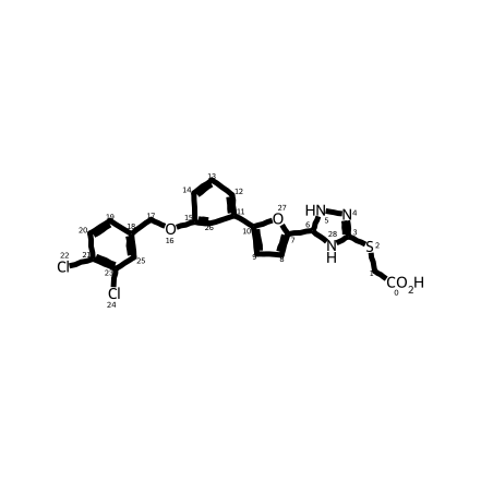 O=C(O)CSC1=NNC(c2ccc(-c3cccc(OCc4ccc(Cl)c(Cl)c4)c3)o2)N1